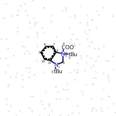 CC(C)(C)N1C[N+](C(=O)[O-])(C(C)(C)C)c2ccccc21